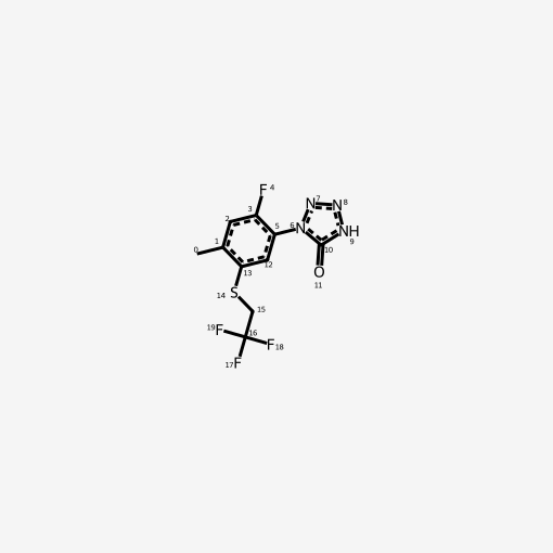 Cc1cc(F)c(-n2nn[nH]c2=O)cc1SCC(F)(F)F